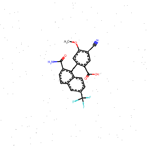 COc1cc(-c2c(C(N)=O)ccc3cc(C(F)(F)F)ccc23)c(C(=O)O)cc1C#N